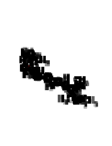 CCC1(CN(Cc2ncc(-c3ccc4c(c3)C(F)(F)c3cc(-c5ccc6nc(C7[C@H]8CCC(C8)N7C(=O)C(NC(=O)OC)C(C)C)[nH]c6c5)ccc3-4)[nH]2)C(=O)C(NC(=O)OC)C(C)C)CC1